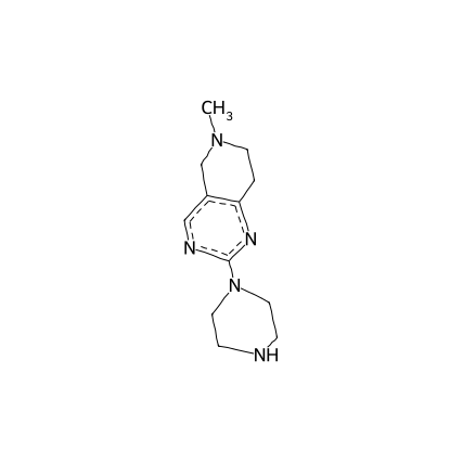 CN1CCc2nc(N3CCNCC3)ncc2C1